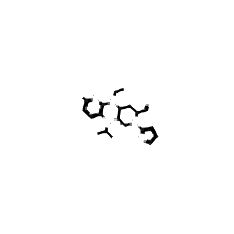 CCN(c1nc(F)ccc1NC(C)C)C1CCN(c2ccc[nH]2)C(C=O)C1